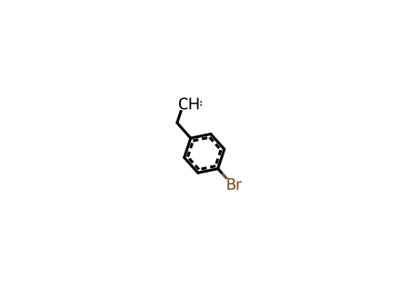 [CH]Cc1ccc(Br)cc1